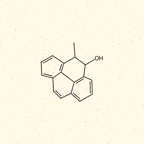 CC1c2cccc3ccc4cccc(c4c23)C1O